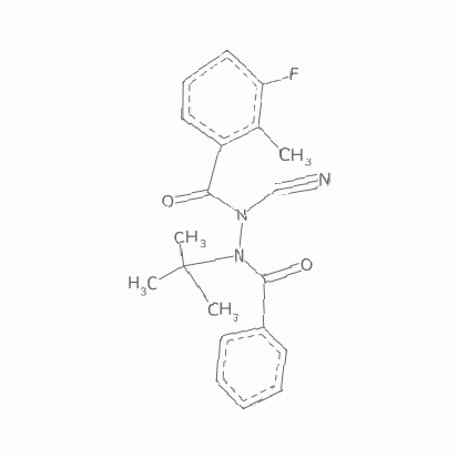 Cc1c(F)cccc1C(=O)N(C#N)N(C(=O)c1ccccc1)C(C)(C)C